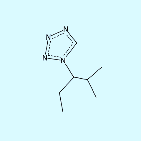 CCC(C(C)C)n1cnnn1